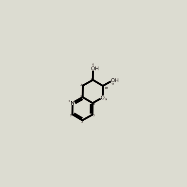 OC1Cc2ncccc2OC1O